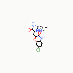 NC(=O)C(CC1Oc2cc(Cl)ccc2NC1=O)NC(=O)O